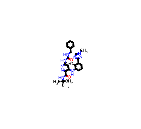 BC(B)(B)NC(=O)c1nnc(NC(=O)NCc2ccccc2)cc1Nc1cccc(-c2ncn(C)n2)c1OC